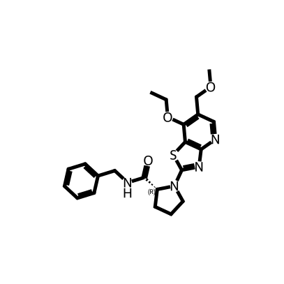 CCOc1c(COC)cnc2nc(N3CCC[C@@H]3C(=O)NCc3ccccc3)sc12